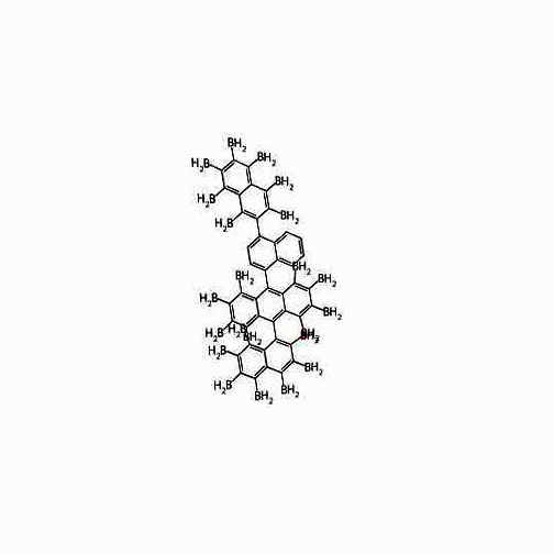 Bc1c(B)c(B)c2c(B)c(-c3ccc(-c4c5c(B)c(B)c(B)c(B)c5c(-c5c(B)c(B)c(B)c6c(B)c(B)c(B)c(B)c56)c5c(B)c(B)c(B)c(B)c45)c4ccccc34)c(B)c(B)c2c1B